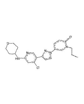 CCCn1cc(-n2ccc(-c3cnc(NC4CCOCC4)cc3Cl)n2)ccc1=O